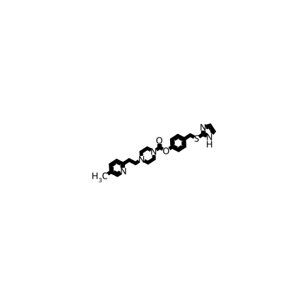 Cc1ccc(CCN2CCN(C(=O)Oc3ccc(CSc4ncc[nH]4)cc3)CC2)nc1